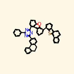 c1ccc(-c2nc(-c3ccc4c(c3)-c3ccccc3CC4)nc(-c3cccc4oc5c(-c6cccc7c6sc6c8ccccc8ccc76)cccc5c34)n2)cc1